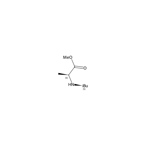 CC[C@H](C)N[C@@H](C)C(=O)OC